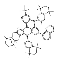 Cc1cc2c(cc1N1c3cc(C(C)(C)C)ccc3B3c4sc5c(c4N(c4ccc6c(c4)C(C)(C)CCC6(C)C)c4cc(-c6cccc7ccccc67)cc1c43)CC1(C)C(=C5)C3(C)CCC1(C)CC3)C(C)(C)CCC2(C)C